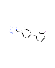 Ic1cccc(-c2ccc(-c3nn[nH]n3)cc2)c1